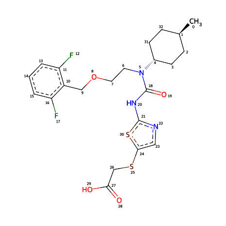 C[C@H]1CC[C@H](N(CCOCc2c(F)cccc2F)C(=O)Nc2ncc(SCC(=O)O)s2)CC1